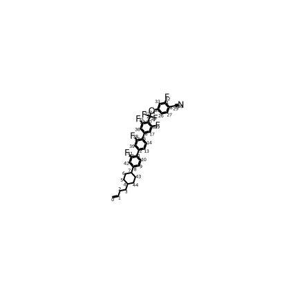 C=CCCC1CCC(c2ccc(-c3ccc(-c4cc(F)c(C(F)(F)Oc5ccc(C#N)c(F)c5)c(F)c4)c(F)c3)c(F)c2)CC1